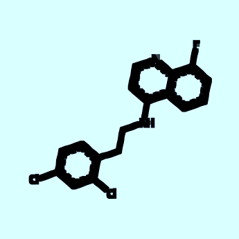 Fc1cccc2c(NCCc3ccc(Cl)cc3Cl)ccnc12